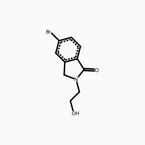 O=C1c2ccc(Br)cc2CN1CCO